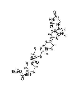 Cn1nc(N2CCC(=O)NC2=O)c2ccc(C3CCN(CC4CCCN(S(=O)(=O)N5CCC(NC(=O)OC(C)(C)C)CC5)C4)CC3)cc21